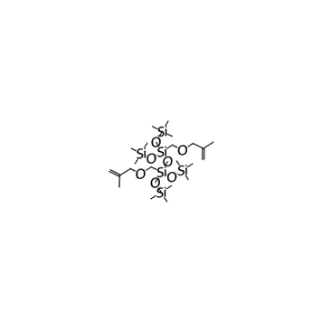 C=C(C)COC[Si](O[Si](C)(C)C)(O[Si](C)(C)C)O[Si](COCC(=C)C)(O[Si](C)(C)C)O[Si](C)(C)C